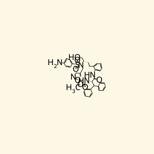 COC(=O)N[C@H](C(=O)Nc1ccccc1CC[C@@H](CO)N(Cc1cnoc1)S(=O)(=O)c1ccc(N)cc1)C(c1ccccc1)c1ccccc1